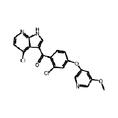 COc1cncc(Oc2ccc(C(=O)c3c[nH]c4nccc(Cl)c34)c(Cl)c2)c1